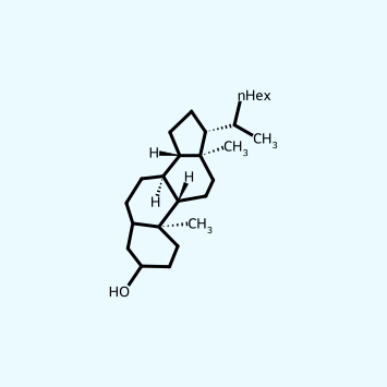 CCCCCCC(C)[C@H]1CC[C@H]2[C@@H]3CCC4CC(O)CC[C@]4(C)[C@H]3CC[C@]12C